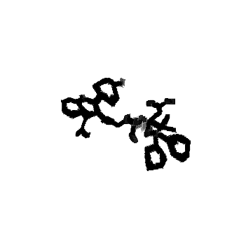 CC(C)c1c(C#CCO[PH](=O)C[C@H](CC(=O)O)O[Si](c2ccccc2)(c2ccccc2)C(C)(C)C)c(-c2ccc(F)cc2)nc2ccccc12